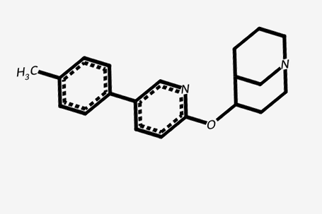 Cc1ccc(-c2ccc(OC3CCN4CCCC3C4)nc2)cc1